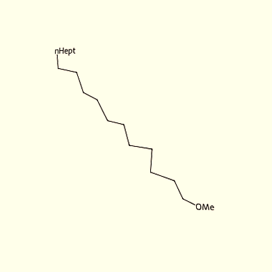 [C]OCCCCCCCCCCCCCCCCCC